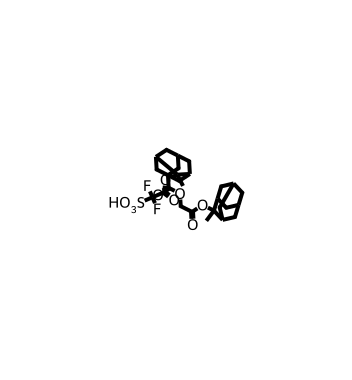 CC1(OC(=O)COC(=O)C23CC4CC(C2)C(C)(OC(=O)C(F)(F)S(=O)(=O)O)C(C4)C3)C2CC3CC(C2)CC1C3